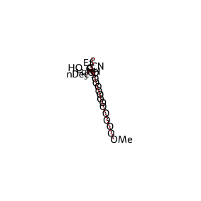 CCCCCCCCCCCCNC(=O)C(CC(C)C(=O)SCCOCCOCCOCCOCCOCCOCCOCCOCCCCOCCCCOCCCCOCCCCOCCCCOC)CC(CC(C#N)CC(CC)c1ccccc1)C(=O)O